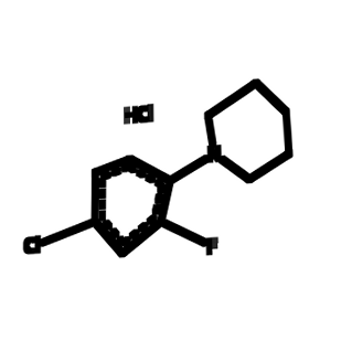 Cl.Fc1cc(Cl)ccc1N1CCCCC1